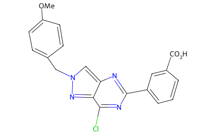 COc1ccc(Cn2cc3nc(-c4cccc(C(=O)O)c4)nc(Cl)c3n2)cc1